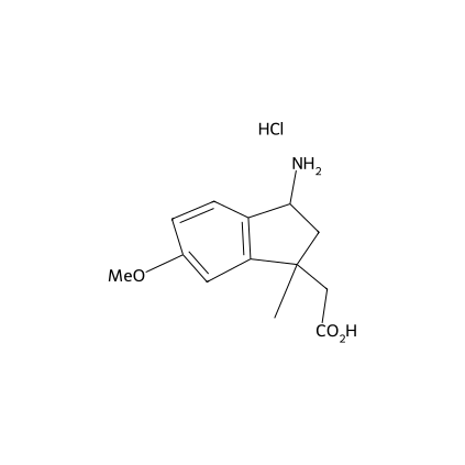 COc1ccc2c(c1)C(C)(CC(=O)O)CC2N.Cl